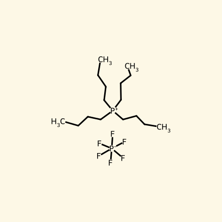 CCCC[P+](CCCC)(CCCC)CCCC.F[P-](F)(F)(F)(F)F